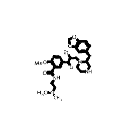 CCC(CN1CCNCC1Cc1ccc2c(c1)OCO2)C(=O)c1ccc(OC)c(C(=O)NCCN(C)C)c1